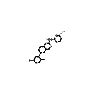 COc1cccc(Nc2cc3ccc(-c4cc(F)ccc4C)cc3cn2)n1